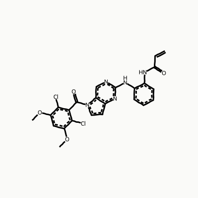 C=CC(=O)Nc1ccccc1Nc1ncc2c(ccn2C(=O)c2c(Cl)c(OC)cc(OC)c2Cl)n1